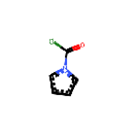 O=C(Cl)n1cccc1